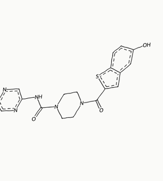 O=C(Nc1cnccn1)N1CCN(C(=O)c2cc3cc(O)ccc3s2)CC1